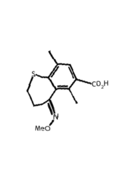 CON=C1CCSc2c(C)cc(C(=O)O)c(C)c21